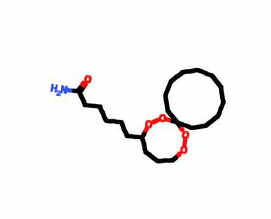 NC(=O)CCCCCC1CCCOOC2(CCCCCCCCCCC2)OO1